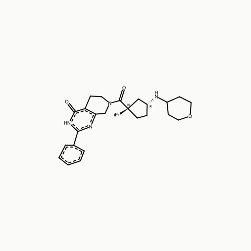 CC(C)[C@]1(C(=O)N2CCc3c(nc(-c4ccccc4)[nH]c3=O)C2)CC[C@@H](NC2CCOCC2)C1